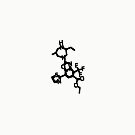 CCOC(=O)c1cc(-c2nccs2)c2oc(N3CC(C)CNC(CC)C3)nc2c1C(F)(F)F